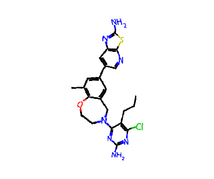 CCCc1c(Cl)nc(N)nc1N1CCOc2c(C)cc(-c3cnc4sc(N)nc4c3)cc2C1